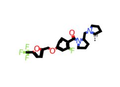 C[C@H]1CCCN1CC1CCCN1C(=O)c1ccc(OCc2ccc(C(F)(F)F)o2)cc1F